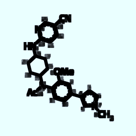 COc1cc(-c2ccn(C)c2)ccc1N(C(C)=O)C1CCC(Nc2ccc(C#N)cn2)CC1